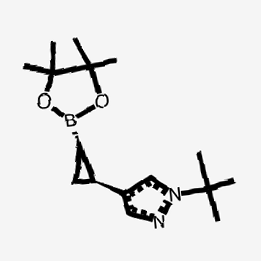 CC(C)(C)n1cc([C@H]2C[C@@H]2B2OC(C)(C)C(C)(C)O2)cn1